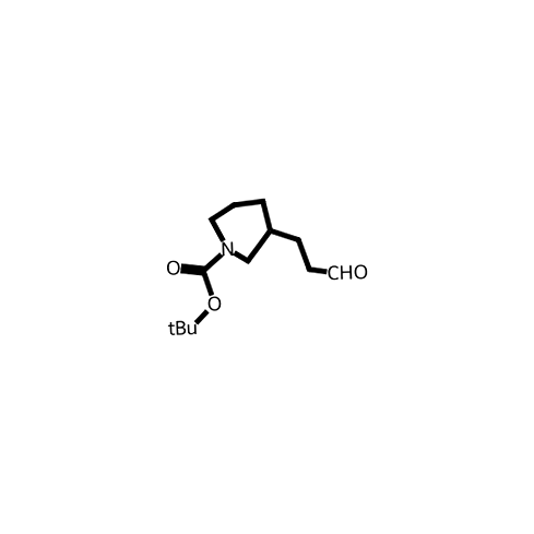 CC(C)(C)OC(=O)N1CCCC(CCC=O)C1